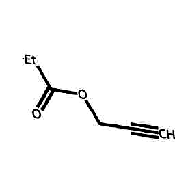 C#CCOC(=O)[CH]C